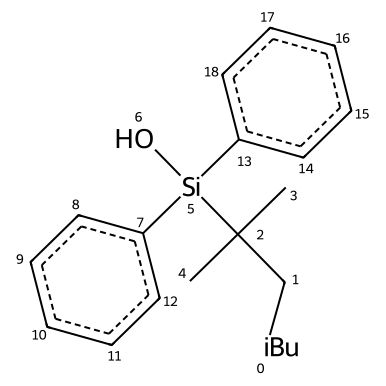 CCC(C)CC(C)(C)[Si](O)(c1ccccc1)c1ccccc1